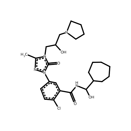 Cc1nn(-c2ccc(Cl)c(C(=O)NC(O)C3CCCCCC3)c2)c(=O)n1CC(O)CN1CCCC1